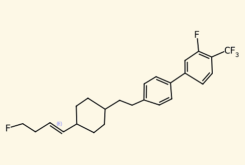 FCC/C=C/C1CCC(CCc2ccc(-c3ccc(C(F)(F)F)c(F)c3)cc2)CC1